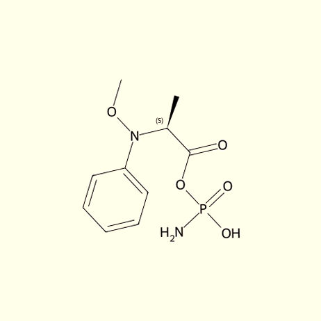 CON(c1ccccc1)[C@@H](C)C(=O)OP(N)(=O)O